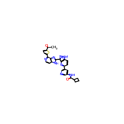 CC(=O)c1ccc(-c2nccc3[nH]c(-c4n[nH]c5ccc(-c6cncc(NC(=O)C7CCC7)c6)nc45)nc23)s1